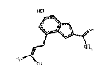 CC(C)=CCc1cccc2sc(C(=N)N)cc12.Cl